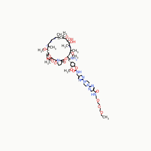 CCOCCOCCOCCNC(=O)c1cnc(N2CCN(c3ncc(CNC(=O)O[C@@H]4CC[C@@H](C[C@@H](N)[C@@H]5C[C@@H](OC)[C@H](C)/C=C(\C)[C@@H](O)[C@@H](O)C(=O)[C@H](C)C[C@H](C)/C=C/C=C/C=C(\C)C(OC)C[C@@H]6CC[C@@H](C)[C@@](O)(O6)C(=O)C(=O)N6CCCC[C@H]6C(=O)O5)C[C@H]4OC)cn3)CC2)nc1